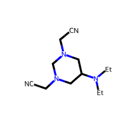 CCN(CC)C1CN(CC#N)CN(CC#N)C1